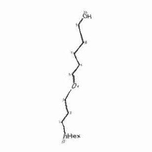 CCCCCCCCCOCCCCCO